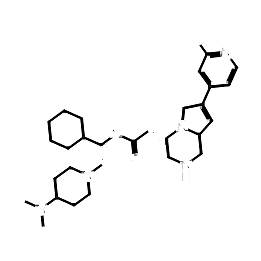 CN(C)C1CCN(C[C@@H](NC(=O)C[C@H]2CNCC3C=C(c4ccnc(F)c4)CN32)C2CCCCC2)CC1